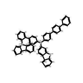 c1ccc(-c2ccc(-c3ccc(N(c4ccc(-c5ccccc5-n5c6ccccc6c6ccccc65)cc4)c4ccc5c(c4)sc4ccccc45)cc3)cc2)cc1